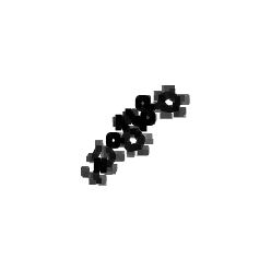 CC(C)N1CCC(Oc2cccc3c2nnn3OC(=O)c2ccccc2)CC1